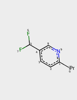 CC(C)c1ccc(C(F)F)cn1